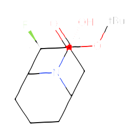 CC(C)(C)OC(=O)N1C2CCCC1[C@@H](F)[C@H](O)C2